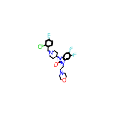 O=c1n(CCN2CCOCC2)c2cc(F)c(F)cc2n1C1CCN(Cc2ccc(F)cc2Cl)CC1